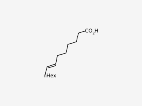 CCCCCCC=CCCCCCC(=O)O